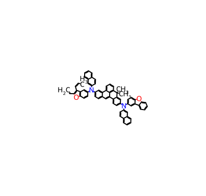 C=Cc1oc2ccc(N(c3ccc4ccccc4c3)c3ccc4cc5c6c(cccc6c4c3)C(C)(C)c3cc(N(c4ccc6ccccc6c4)c4ccc6oc7ccccc7c6c4)ccc3-5)cc2c1/C=C\C